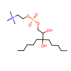 CCCCCC(O)(CCCCC)C(O)COP(=O)([O-])OCC[N+](C)(C)C